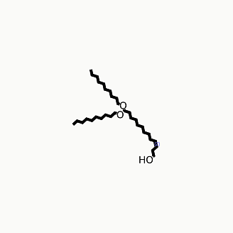 CCCCCCCCCCOC(CCCCCCCC/C=C\CCO)OCCCCCCCCCC